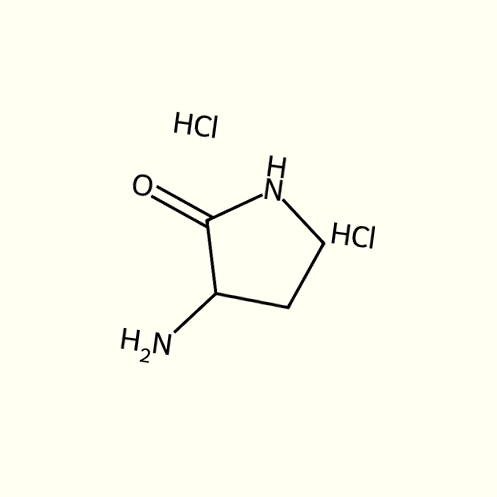 Cl.Cl.NC1CCNC1=O